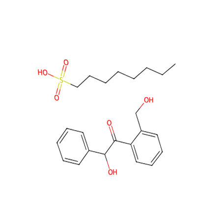 CCCCCCCCS(=O)(=O)O.O=C(c1ccccc1CO)C(O)c1ccccc1